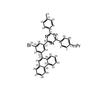 CCCc1ccc(-c2nc(-c3ccc(C)cc3)nc(-c3cc(Br)cc(-c4cc5ccccc5c5ccccc45)c3)n2)cc1